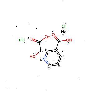 Cl.O=C(O)CO.O=C(O)c1cccnc1.[Cl-].[Na+]